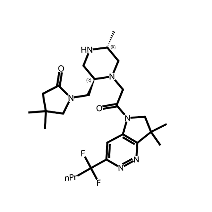 CCCC(F)(F)c1cc2c(nn1)C(C)(C)CN2C(=O)CN1C[C@@H](C)NC[C@@H]1CN1CC(C)(C)CC1=O